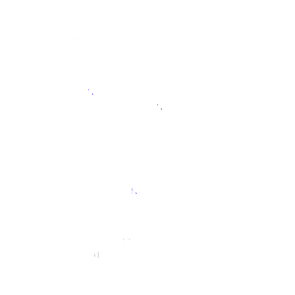 CC(C)(C)OC(=O)N1CCC(c2ccc(C(F)(F)F)cc2N2CCC(N3CCCS3(=O)=O)CC2)CC1